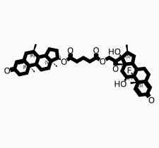 C[C@@H]1CC2=CC(=O)CC[C@]2(C)C2CC[C@@]3(C)C(CC[C@@H]3OC(=O)CCCC(=O)OCC(=O)[C@@]3(O)[C@@H](C)CC4C5CCC6=CC(=O)C=C[C@]6(C)[C@@]5(F)[C@@H](O)C[C@@]43C)C21